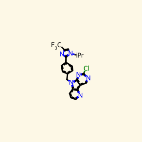 CC(C)n1cc(C(F)(F)F)nc1-c1ccc(Cn2c3cccnc3c3cnc(Cl)nc32)cc1